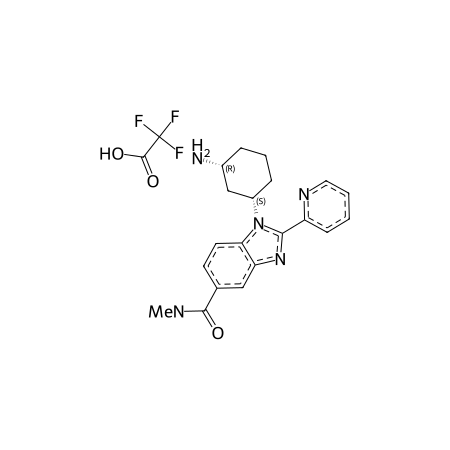 CNC(=O)c1ccc2c(c1)nc(-c1ccccn1)n2[C@H]1CCC[C@@H](N)C1.O=C(O)C(F)(F)F